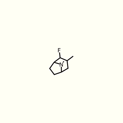 CC1CC2CCC(C1F)N2C